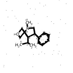 CC(C)C1C(c2ccccc2)CN(C)C12COC2